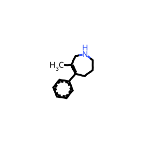 CC1=C(c2ccccc2)CCCNC1